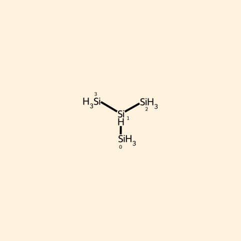 [SiH3][SiH]([SiH3])[SiH3]